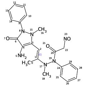 C/C(=C\c1c(N)c(=O)n(-c2ccccc2)n1C)N(C)N(C(=O)CN=O)c1ccccc1